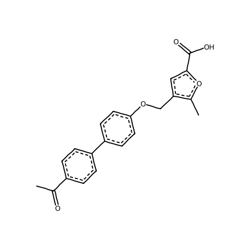 CC(=O)c1ccc(-c2ccc(OCc3cc(C(=O)O)oc3C)cc2)cc1